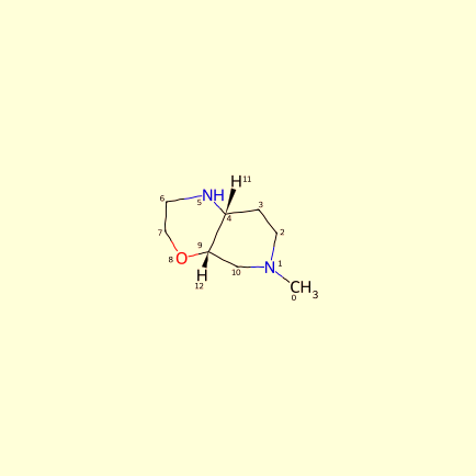 CN1CC[C@H]2NCCO[C@H]2C1